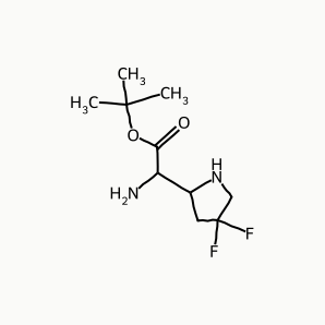 CC(C)(C)OC(=O)C(N)C1CC(F)(F)CN1